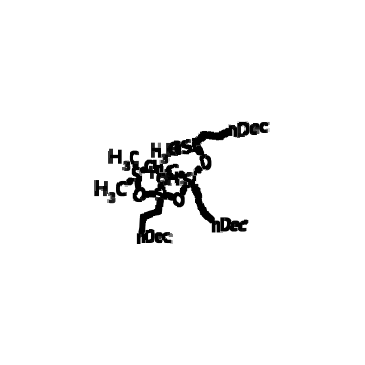 CCCCCCCCCCCC[SiH](C)O[Si](C)(CCCCCCCCCCCC)O[Si](C)(CCCCCCCCCCCC)O[Si](C)(C)C